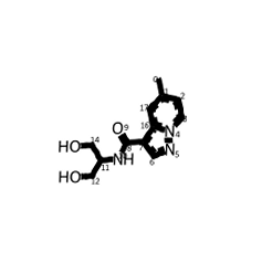 Cc1ccn2ncc(C(=O)NC(CO)CO)c2c1